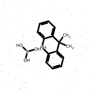 CC1(C)c2ccccc2Nc2ccccc21.OB(O)O